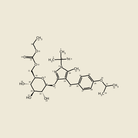 [2H]C(C)(C)n1nc(O[C@@H]2O[C@H](COC(=O)OCC)[C@@H](O)[C@H](O)[C@H]2O)c(Cc2ccc(OC(C)C)cc2)c1C